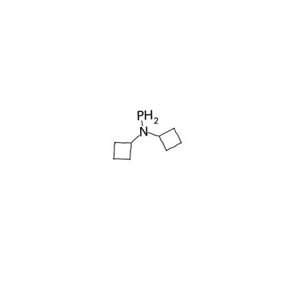 PN(C1CCC1)C1CCC1